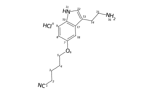 Cl.N#CCCCCOc1ccc2[nH]cc(CCN)c2c1